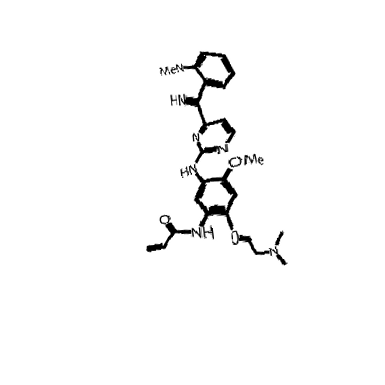 C=CC(=O)Nc1cc(Nc2nccc(C(=N)c3ccccc3NC)n2)c(OC)cc1OCCN(C)C